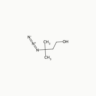 CC(C)(CCO)N=[N+]=[N-]